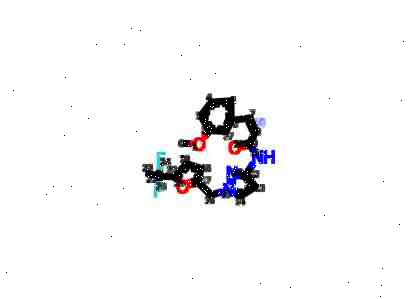 COc1cccc(/C=C\C(=O)Nc2ccn(Cc3ccc(C(C)(F)F)o3)n2)c1